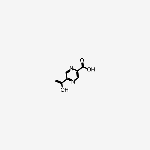 C=C(O)c1cnc(C(=O)O)cn1